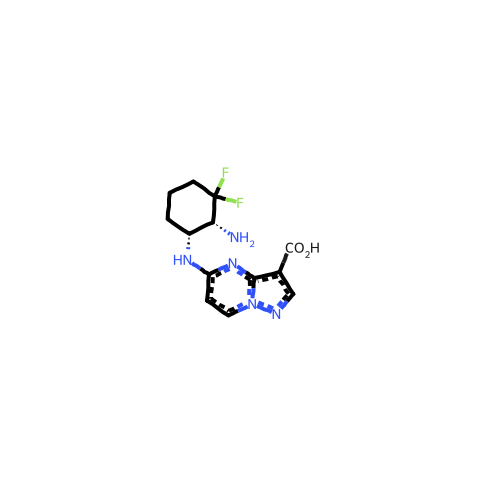 N[C@@H]1[C@H](Nc2ccn3ncc(C(=O)O)c3n2)CCCC1(F)F